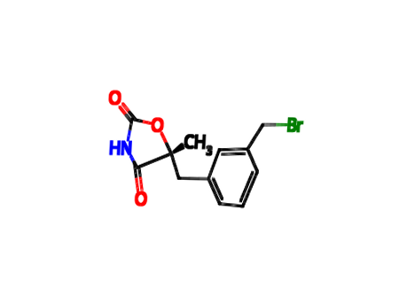 C[C@]1(Cc2cccc(CBr)c2)OC(=O)NC1=O